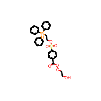 O=C(OOCCO)c1ccc(S(=O)(=O)OCC[PH](c2ccccc2)(c2ccccc2)c2ccccc2)cc1